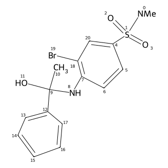 CNS(=O)(=O)c1ccc(NC(C)(O)c2ccccc2)c(Br)c1